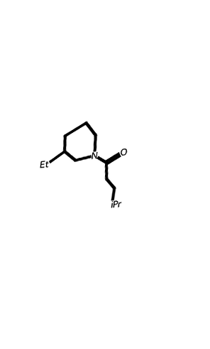 CCC1CCCN(C(=O)CCC(C)C)C1